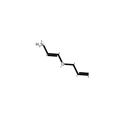 C=CCOC=C[SiH3]